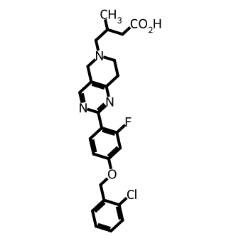 CC(CC(=O)O)CN1CCc2nc(-c3ccc(OCc4ccccc4Cl)cc3F)ncc2C1